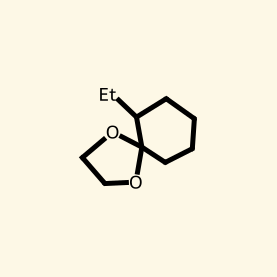 CCC1CCCCC12OCCO2